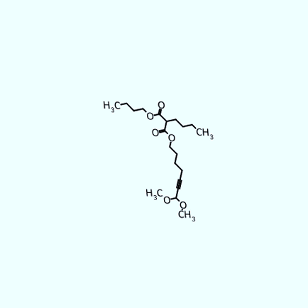 CCCCOC(=O)C(CCCC)C(=O)OCCCCC#CC(OC)OC